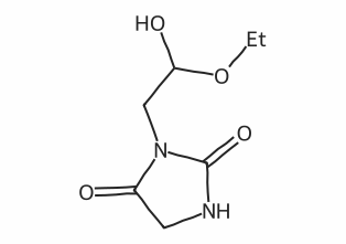 CCOC(O)CN1C(=O)CNC1=O